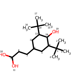 CC(C)(C)C1CC(CCC(O)O)CC(C(C)(C)C)C1O